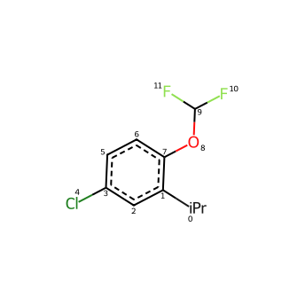 CC(C)c1cc(Cl)ccc1OC(F)F